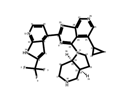 FC(F)(F)c1cc2c(-c3nc(N4CC[C@H]5CNCC[C@H]54)c4c(C5CC5)cncc4n3)ccnc2[nH]1